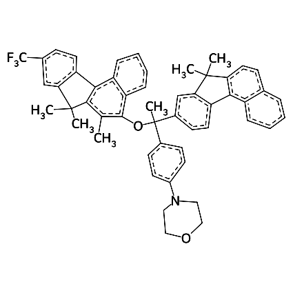 Cc1c2c(c3ccccc3c1OC(C)(c1ccc(N3CCOCC3)cc1)c1ccc3c(c1)C(C)(C)c1ccc4ccccc4c1-3)-c1ccc(C(F)(F)F)cc1C2(C)C